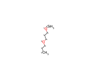 CCCOCCCO[SiH3]